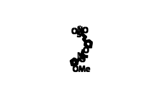 COc1cccc(-c2nc(COC3CCCC(CCC4SC(=O)N(C)C4=O)C3)c(C)o2)c1